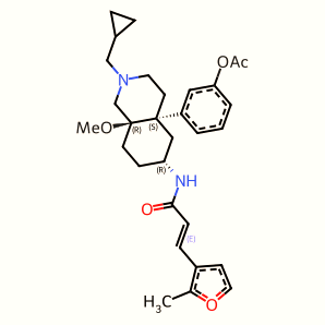 CO[C@]12CC[C@@H](NC(=O)/C=C/c3ccoc3C)C[C@]1(c1cccc(OC(C)=O)c1)CCN(CC1CC1)C2